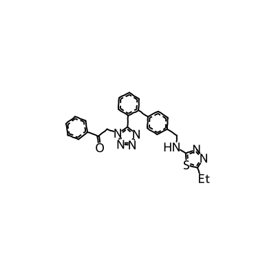 CCc1nnc(NCc2ccc(-c3ccccc3-c3nnnn3CC(=O)c3ccccc3)cc2)s1